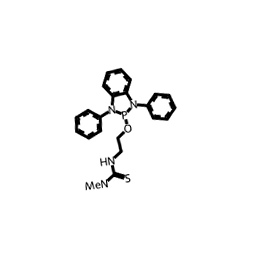 CNC(=S)NCCOP1N(c2ccccc2)c2ccccc2N1c1ccccc1